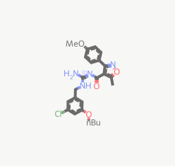 CCCCOc1cc(Cl)cc(CN/C(N)=N\C(=O)c2c(-c3ccc(OC)cc3)noc2C)c1